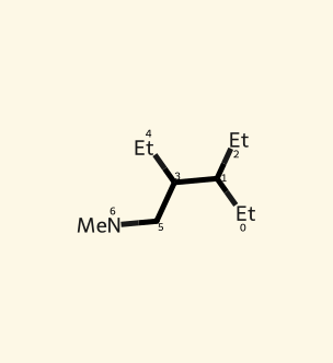 CCC(CC)C(CC)CNC